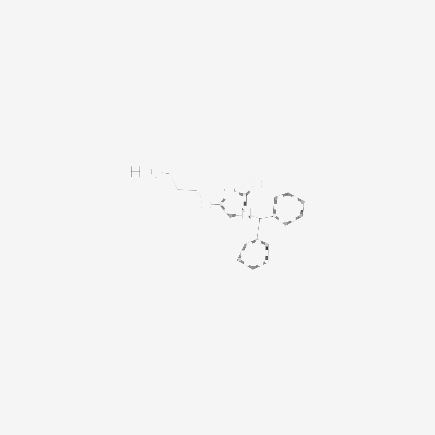 CCCCOc1cn(C(c2ccccc2)c2ccccc2)c(=O)o1